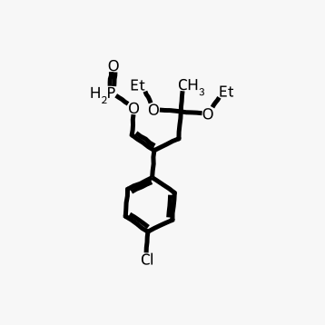 CCOC(C)(CC(=CO[PH2]=O)c1ccc(Cl)cc1)OCC